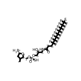 B[C@H]1CC(C)[C@@H](COP(=O)(S)OCC(O)CNC(=O)CCC(F)(F)C(F)(F)C(F)(F)C(F)(F)C(F)(F)C(F)(F)C(F)(F)C(F)(F)F)O1